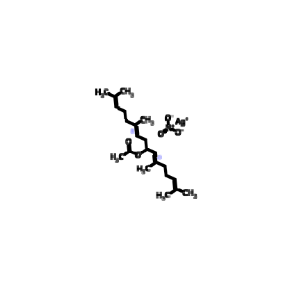 CC(=O)OC(/C=C(\C)CCC=C(C)C)C/C=C(\C)CCC=C(C)C.O=[N+]([O-])[O-].[Ag+]